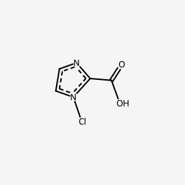 O=C(O)c1nccn1Cl